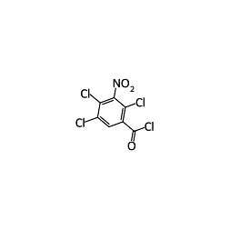 O=C(Cl)c1cc(Cl)c(Cl)c([N+](=O)[O-])c1Cl